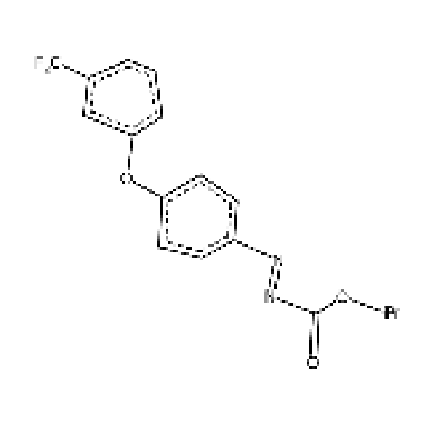 CC(C)OC(=O)N=Nc1ccc(Oc2cccc(C(F)(F)F)c2)cc1